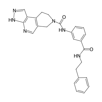 O=C(NCCc1ccccc1)c1cccc(NC(=O)N2CCc3c(cnc4[nH]ncc34)C2)c1